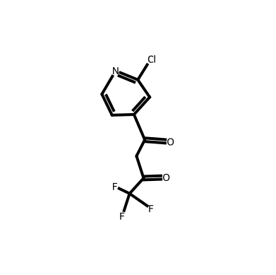 O=C(CC(=O)C(F)(F)F)c1ccnc(Cl)c1